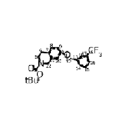 CC(C)(C)OC(=O)N1CCc2ccc(OCc3cccc(C(F)(F)F)c3)cc2C1